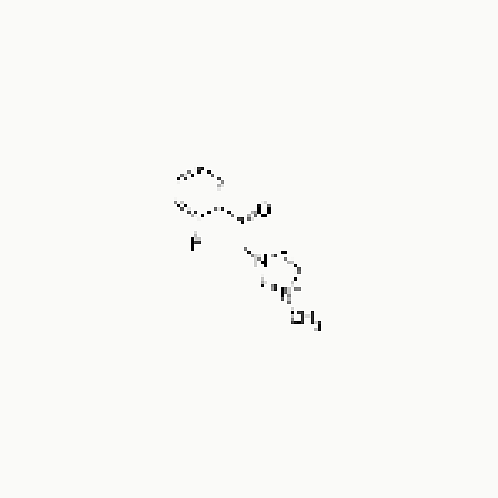 C[n+]1ccn(CC(=O)c2ccccc2F)c1